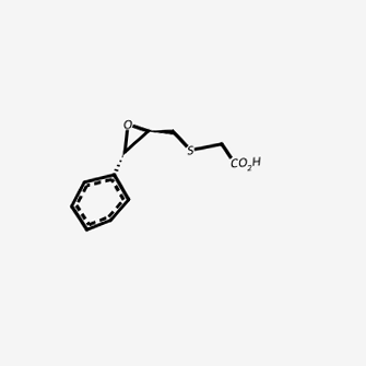 O=C(O)CSC[C@@H]1O[C@H]1c1ccccc1